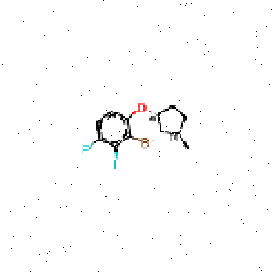 C[C@@H]1CC[C@@H](Oc2ccc(F)c(F)c2Br)C1